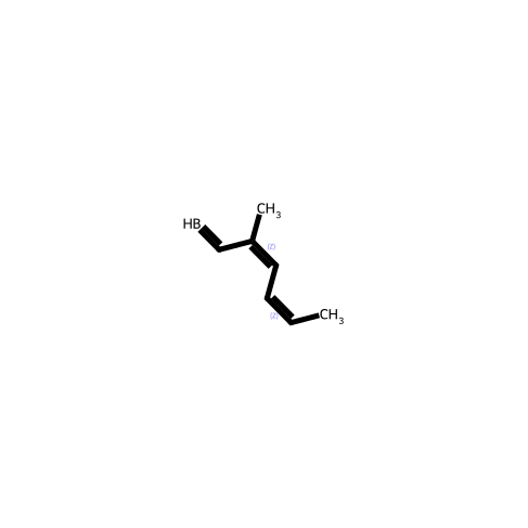 B=C/C(C)=C\C=C/C